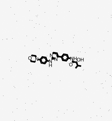 CC(C)C(O)C(=O)Nc1ccc(-c2ccnc(Nc3ccc(N4CCOCC4)cc3)n2)cc1